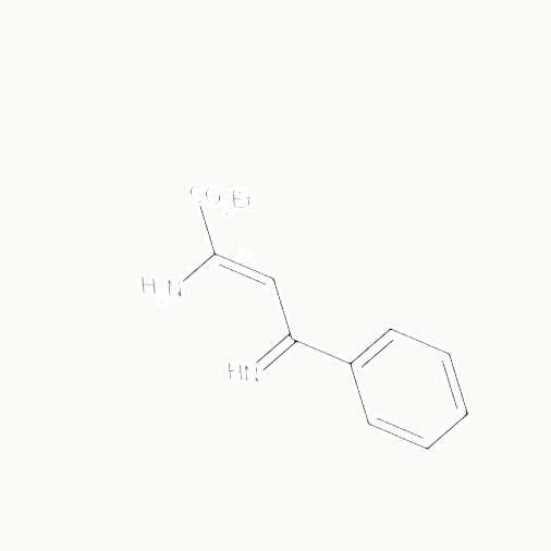 CCOC(=O)/C(N)=C/C(=N)c1ccccc1